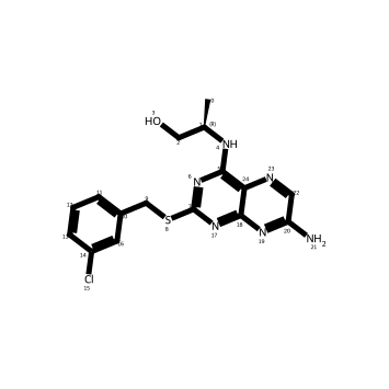 C[C@H](CO)Nc1nc(SCc2cccc(Cl)c2)nc2nc(N)cnc12